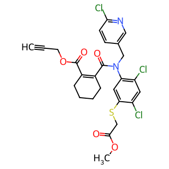 C#CCOC(=O)C1=C(C(=O)N(Cc2ccc(Cl)nc2)c2cc(SCC(=O)OC)c(Cl)cc2Cl)CCCC1